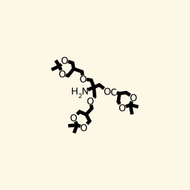 CC1(C)OCC(COCC(N)(COCC2COC(C)(C)OC2)COCC2COC(C)(C)OC2)CO1